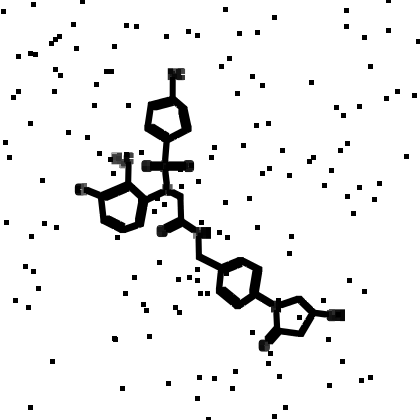 [C-]#[N+]c1ccc(S(=O)(=O)N(CC(=O)NCc2ccc(N3CC(O)CC3=O)cc2)c2cccc(Cl)c2C)cc1